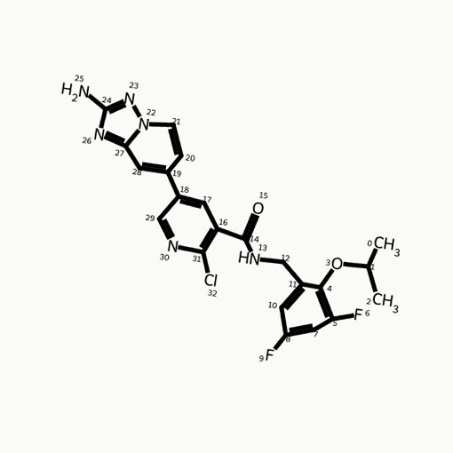 CC(C)Oc1c(F)cc(F)cc1CNC(=O)c1cc(-c2ccn3nc(N)nc3c2)cnc1Cl